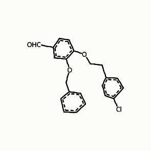 O=Cc1ccc(OCCc2ccc(Cl)cc2)c(OCc2ccccc2)c1